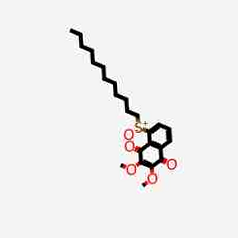 CCCCCCCCCCCC[S+]([O-])c1cccc2c1C(=O)C(OC)=C(OC)C2=O